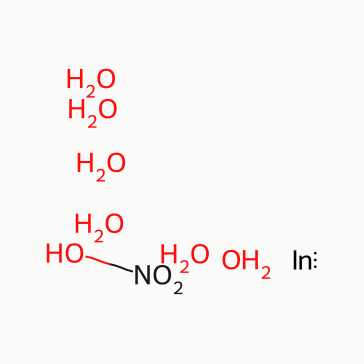 O.O.O.O.O.O.O=[N+]([O-])O.[In]